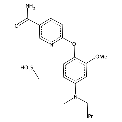 COc1cc(N(C)CC(C)C)ccc1Oc1ccc(C(N)=O)cn1.CS(=O)(=O)O